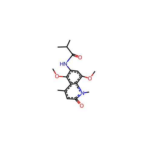 COc1c(NC(=O)C(C)C)cc(OC)c2c1c(C)cc(=O)n2C